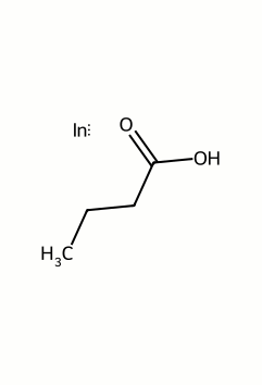 CCCC(=O)O.[In]